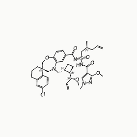 C=CC[C@H](C)CS(=O)(=NC(=O)c1ccc2c(c1)N(C[C@@H]1CC[C@H]1[C@H](C=C)OC)C[C@@]1(CCCc3cc(Cl)ccc31)CO2)NC(=O)c1cn(C)nc1OC